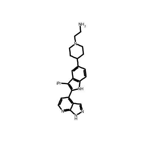 CC(C)c1c(-c2ccnc3[nH]ncc23)[nH]c2ccc(C3CCN(CCN)CC3)cc12